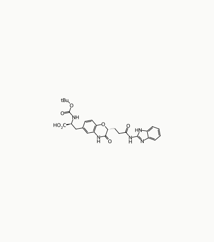 CC(C)(C)OC(=O)N[C@@H](Cc1ccc2c(c1)NC(=O)[C@@H](CCC(=O)Nc1nc3ccccc3[nH]1)O2)C(=O)O